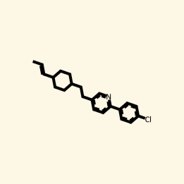 C/C=C/C1CCC(CCc2ccc(-c3ccc(Cl)cc3)nc2)CC1